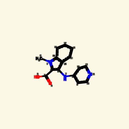 Cn1c(C(=O)O)c(Nc2ccncc2)c2ccccc21